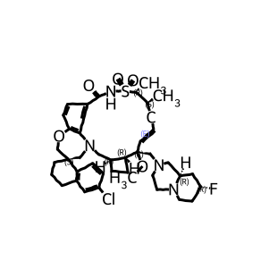 CO[C@@]1(CN2CCN3CC[C@@H](F)C[C@@H]3C2)/C=C/C[C@H](C)[C@@H](C)S(=O)(=O)NC(=O)c2ccc3c(c2)N(C[C@@H]2CC[C@H]21)C[C@@]1(CCCc2cc(Cl)ccc21)CO3